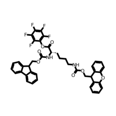 O=C(NCCCC[C@H](NC(=O)OCC1c2ccccc2-c2ccccc21)C(=O)Oc1c(F)c(F)c(F)c(F)c1F)OCC1c2ccccc2Oc2ccccc21